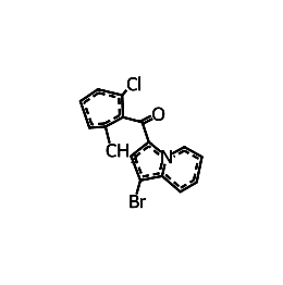 Cc1cccc(Cl)c1C(=O)c1cc(Br)c2ccccn12